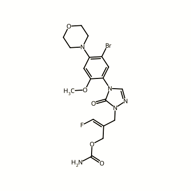 COc1cc(N2CCOCC2)c(Br)cc1-n1cnn(CC(=CF)COC(N)=O)c1=O